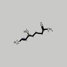 C/C=C/[C@@H](O)CCCC(C)=O